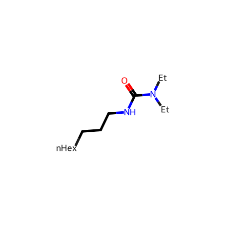 CCCCCCCCCNC(=O)N(CC)CC